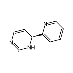 [C]1=NC=C[C@@H](c2ccccn2)N1